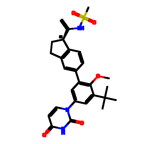 C=C(NS(C)(=O)=O)[C@@H]1CCc2cc(-c3cc(-n4ccc(=O)[nH]c4=O)cc(C(C)(C)C)c3OC)ccc21